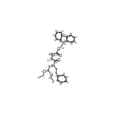 CCOC(CN(CCc1ccccc1)C(=O)[C@H](C)NC(=O)OCC1c2ccccc2-c2ccccc21)OCC